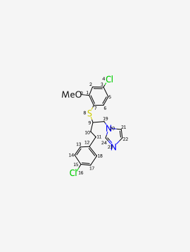 COc1cc(Cl)ccc1SC(CCc1ccc(Cl)cc1)Cn1ccnc1